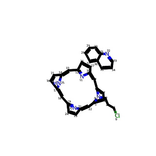 ClCCCn1c2ccc1cc1nc(cc3ccc(cc4nc(c2)C=C4)[nH]3)C=C1.c1ccc2ncccc2c1